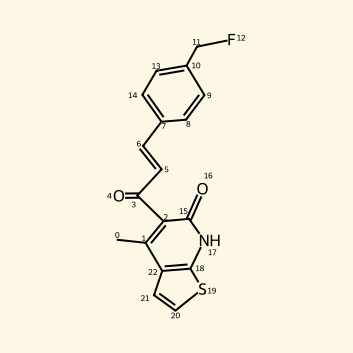 Cc1c(C(=O)C=Cc2ccc(CF)cc2)c(=O)[nH]c2sccc12